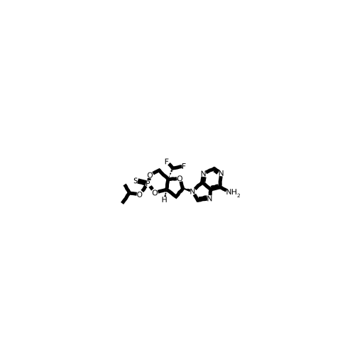 CC(C)OP1(=S)OC[C@@]2(C(F)F)O[C@@H](n3cnc4c(N)ncnc43)C[C@H]2O1